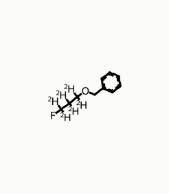 [2H]C([2H])(F)C([2H])([2H])C([2H])([2H])OCc1ccccc1